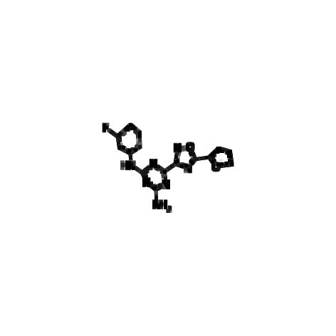 Nc1nc(Nc2cccc(F)c2)nc(-c2noc(-c3ccco3)n2)n1